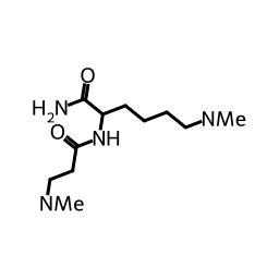 CNCCCCC(NC(=O)CCNC)C(N)=O